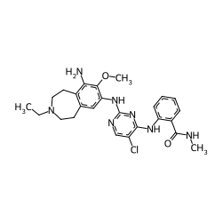 CCN1CCc2cc(Nc3ncc(Cl)c(Nc4ccccc4C(=O)NC)n3)c(OC)c(N)c2CC1